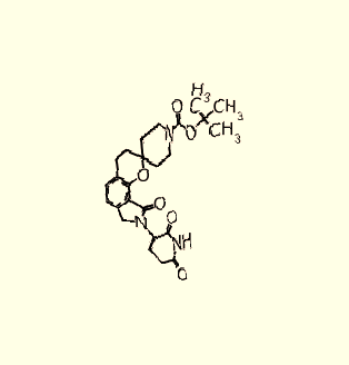 CC(C)(C)OC(=O)N1CCC2(CCc3ccc4c(c3O2)C(=O)N(C2CCC(=O)NC2=O)C4)CC1